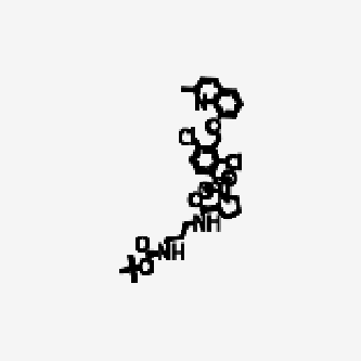 Cc1ccc2cccc(OCc3c(Cl)ccc(S(=O)(=O)N4CCCC4C(=O)NCCCNC(=O)OC(C)(C)C)c3Cl)c2n1